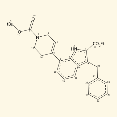 CCOC(=O)c1[nH]c2c(C3=CCN(C(=O)OC(C)(C)C)CC3)cccc2c1Cc1ccccc1